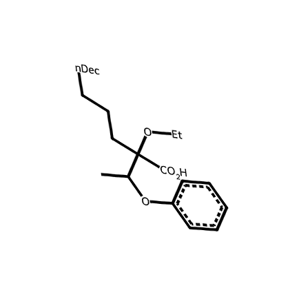 CCCCCCCCCCCCCC(OCC)(C(=O)O)C(C)Oc1ccccc1